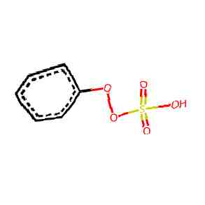 O=S(=O)(O)OOc1ccccc1